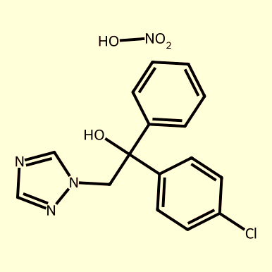 O=[N+]([O-])O.OC(Cn1cncn1)(c1ccccc1)c1ccc(Cl)cc1